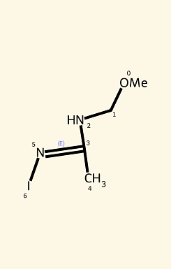 COCN/C(C)=N/I